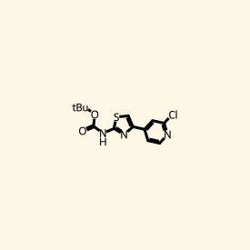 CC(C)(C)OC(=O)Nc1nc(-c2ccnc(Cl)c2)cs1